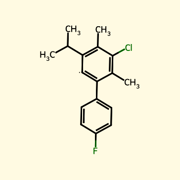 Cc1c(-c2ccc(F)cc2)[c]c(C(C)C)c(C)c1Cl